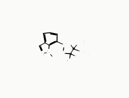 CC1(C)OB(c2cccc3cnn(C(=O)O)c23)OC1(C)C